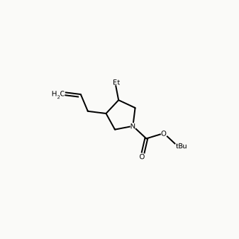 C=CCC1CN(C(=O)OC(C)(C)C)CC1CC